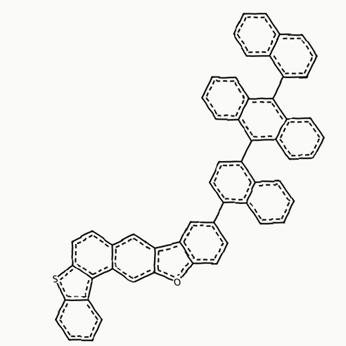 c1ccc2c(-c3c4ccccc4c(-c4ccc(-c5ccc6oc7cc8c(ccc9sc%10ccccc%10c98)cc7c6c5)c5ccccc45)c4ccccc34)cccc2c1